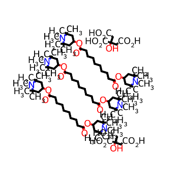 CN1C(C)(C)CC(OC(=O)CCCCCCCCC(=O)OC2CC(C)(C)N(C)C(C)(C)C2)CC1(C)C.CN1C(C)(C)CC(OC(=O)CCCCCCCCC(=O)OC2CC(C)(C)N(C)C(C)(C)C2)CC1(C)C.CN1C(C)(C)CC(OC(=O)CCCCCCCCC(=O)OC2CC(C)(C)N(C)C(C)(C)C2)CC1(C)C.O=C(O)CC(O)(CC(=O)O)C(=O)O.O=C(O)CC(O)(CC(=O)O)C(=O)O